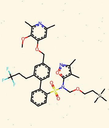 COc1c(OCc2ccc(-c3ccccc3S(=O)(=O)N(COCC[Si](C)(C)C)c3onc(C)c3C)c(CCC(F)(F)F)c2)cc(C)nc1C